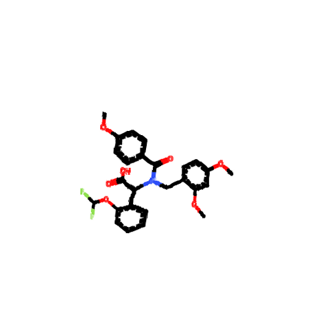 COc1ccc(C(=O)N(Cc2ccc(OC)cc2OC)C(C(=O)O)c2ccccc2OC(F)F)cc1